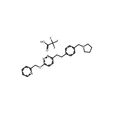 O=C(O)C(F)(F)F.c1ccc(COc2ccc(CCc3ccc(CN4CCCC4)cc3)nn2)nc1